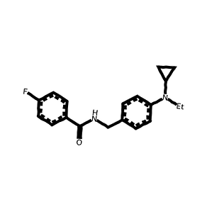 CCN(c1ccc(CNC(=O)c2ccc(F)cc2)cc1)C1CC1